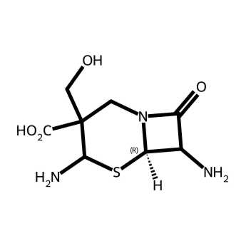 NC1C(=O)N2CC(CO)(C(=O)O)C(N)S[C@H]12